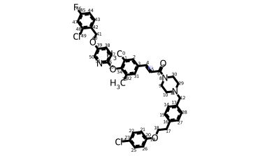 Cc1cc(/C=C/C(=O)N2CCN(Cc3ccc(CCOc4ccc(Cl)cc4)cc3)CC2)cc(C)c1Oc1ccc(OCc2ccc(F)cc2Cl)cn1